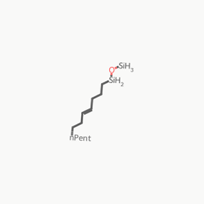 CCCCCCCC=CCCC[SiH2]O[SiH3]